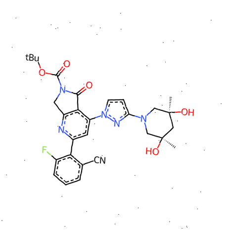 CC(C)(C)OC(=O)N1Cc2nc(-c3c(F)cccc3C#N)cc(-n3ccc(N4C[C@](C)(O)C[C@](C)(O)C4)n3)c2C1=O